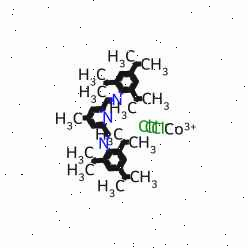 Cc1cc(C=Nc2c(C(C)C)cc(C(C)C)cc2C(C)C)nc(C=Nc2c(C(C)C)cc(C(C)C)cc2C(C)C)c1.[Cl-].[Cl-].[Cl-].[Co+3]